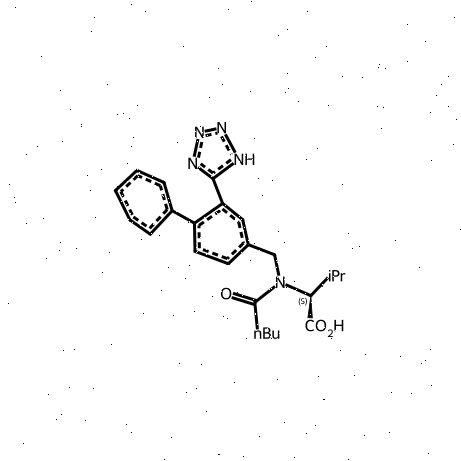 CCCCC(=O)N(Cc1ccc(-c2ccccc2)c(-c2nnn[nH]2)c1)[C@H](C(=O)O)C(C)C